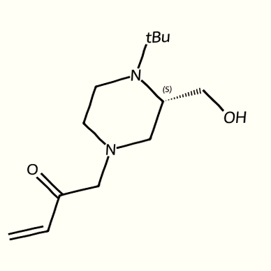 C=CC(=O)CN1CCN(C(C)(C)C)[C@H](CO)C1